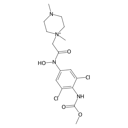 COC(=O)Nc1c(Cl)cc(N(O)C(=O)C[N+]2(C)CCN(C)CC2)cc1Cl